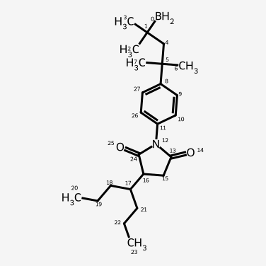 BC(C)(C)CC(C)(C)c1ccc(N2C(=O)CC(C(CCC)CCC)C2=O)cc1